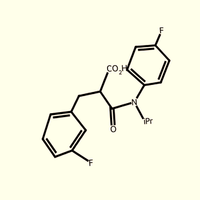 CC(C)N(C(=O)C(Cc1cccc(F)c1)C(=O)O)c1ccc(F)cc1